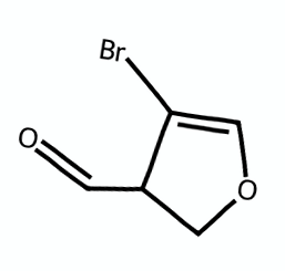 O=CC1COC=C1Br